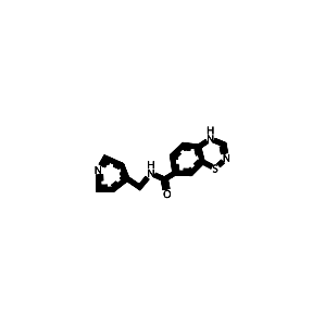 O=C(NCc1ccncc1)c1ccc2c(c1)SN=CN2